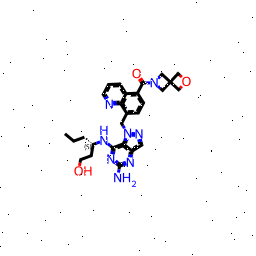 CCC[C@@H](CCO)Nc1nc(N)nc2cnn(Cc3ccc(C(=O)N4CC5(COC5)C4)c4cccnc34)c12